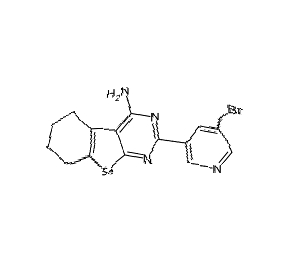 Nc1nc(-c2cncc(Br)c2)nc2[se]c3c(c12)CCCC3